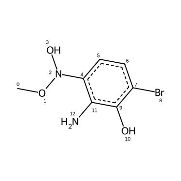 CON(O)c1ccc(Br)c(O)c1N